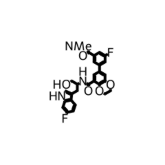 CNC(=O)c1cc(F)cc(-c2cc3c(c(C(=O)NC(CO)Cc4c[nH]c5cc(F)ccc45)c2)OCCO3)c1